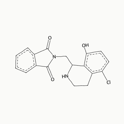 O=C1c2ccccc2C(=O)N1CC1NCCc2c(Cl)ccc(O)c21